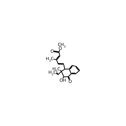 C=CC1(C)C(O)C(=O)c2ccccc2C1C=CC(C)=CC(=O)OC